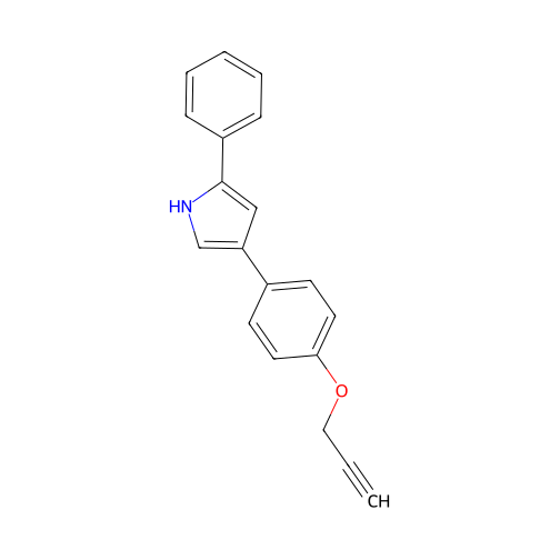 C#CCOc1ccc(-c2c[nH]c(-c3ccccc3)c2)cc1